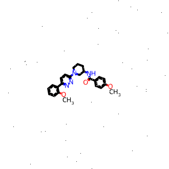 COc1ccc(C(=O)NC2CCCN(c3ccc(-c4ccccc4OC)nn3)C2)cc1